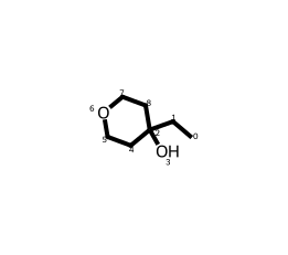 CCC1(O)CCOCC1